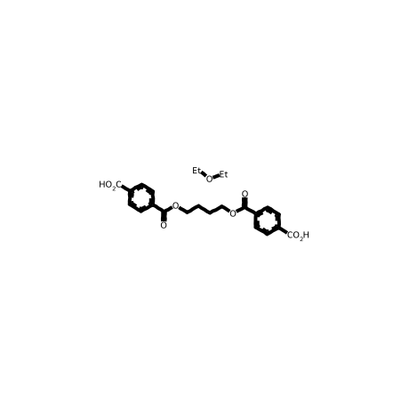 CCOCC.O=C(O)c1ccc(C(=O)OCCCCOC(=O)c2ccc(C(=O)O)cc2)cc1